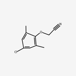 Cc1cc(Cl)cc(C)c1OCC#N